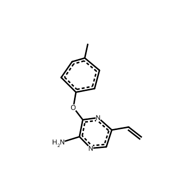 C=Cc1cnc(N)c(Oc2ccc(C)cc2)n1